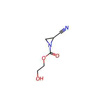 N#CC1CN1C(=O)OCCO